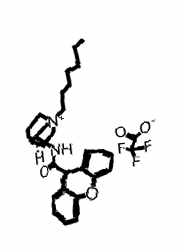 CCCCCCC[N+]12CCC(CC1)[C@H](NC(=O)C1c3ccccc3Oc3ccccc31)C2.O=C([O-])C(F)(F)F